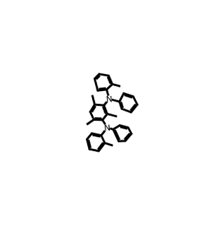 Cc1ccccc1N(c1ccccc1)c1c(C)cc(C)c(N(c2ccccc2)c2ccccc2C)c1C